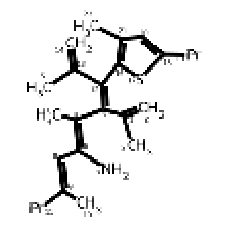 C=C(C)C(/C(C)=C(N)/C=C(\C)C(C)C)=C(/C(=C)C)c1sc(C(C)C)cc1C